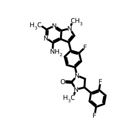 Cc1nc(N)c2c(-c3ccc(N4CC(c5cc(F)ccc5F)N(C)C4=O)cc3F)cn(C)c2n1